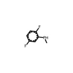 CPc1cc(F)ccc1F